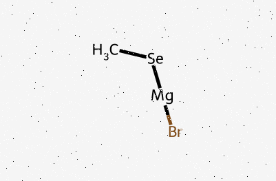 C[Se][Mg][Br]